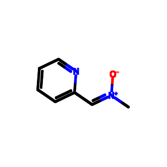 C/[N+]([O-])=C/c1ccccn1